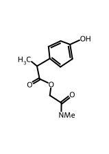 CNC(=O)COC(=O)C(C)c1ccc(O)cc1